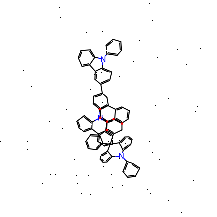 C1=C(c2ccc3c(c2)c2ccccc2n3-c2ccccc2)CCC(N(C2=CCCC3=C2c2ccccc2C32c3ccccc3N(c3ccccc3)c3ccccc32)c2ccccc2-c2ccccc2-c2cccc3ccccc23)=C1